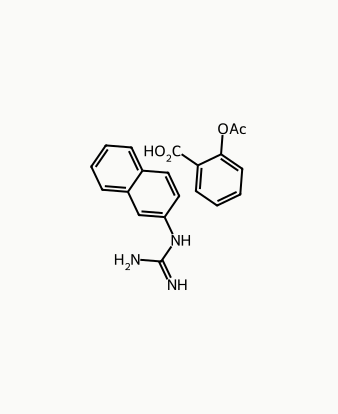 CC(=O)Oc1ccccc1C(=O)O.N=C(N)Nc1ccc2ccccc2c1